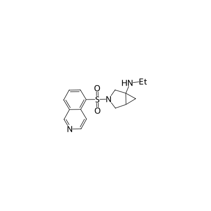 CCNC12CC1CN(S(=O)(=O)c1cccc3cnccc13)C2